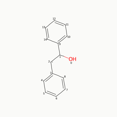 OC([CH]c1ccccc1)c1ccccc1